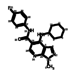 Cn1ncc2c(NC3CCCCC3)c(C(=O)Nc3ccc(F)cc3)cnc21